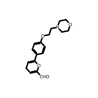 O=CC1=CCC=C(c2ccc(OCCN3CCOCC3)cc2)O1